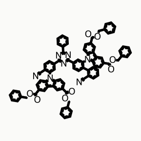 N#Cc1ccccc1-c1ccc(-c2nc(-c3ccccc3)nc(-c3ccc(C#N)c(-n4c5ccc(C(=O)OCc6ccccc6)cc5c5cc(C(=O)OCc6ccccc6)ccc54)c3)n2)cc1-n1c2ccc(C(=O)OCc3ccccc3)cc2c2cc(C(=O)OCc3ccccc3)ccc21